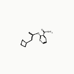 CC(CC1CCC1)Oc1ncccc1C(N)=O